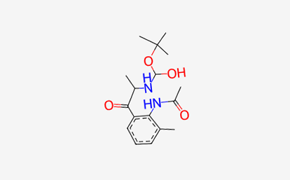 CC(=O)Nc1c(C)cccc1C(=O)C(C)NC(O)OC(C)(C)C